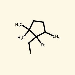 CCC1(CI)C(C)CCC1(C)C